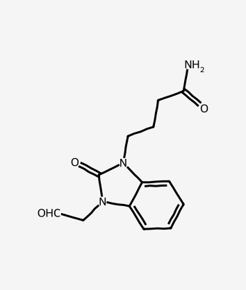 NC(=O)CCCn1c(=O)n(CC=O)c2ccccc21